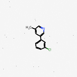 Cc1cncc(-c2cccc(Cl)c2)c1